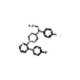 NC[C@@H](c1ccc(C(F)(F)F)cc1)C1CCN(c2ncn[c]c2-c2ccc(F)cc2)CC1